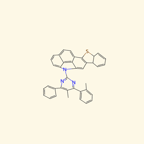 Cc1ccccc1-c1nc(-n2c3cccc4ccc5c6c(cc2c5c43)C2C=CC=CC2S6)nc(-c2ccccc2)c1C